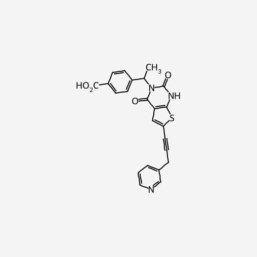 CC(c1ccc(C(=O)O)cc1)n1c(=O)[nH]c2sc(C#CCc3cccnc3)cc2c1=O